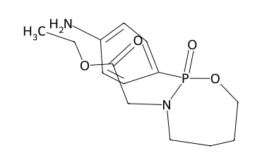 CCOC(=O)CN1CCCCOP1(=O)c1ccc(N)cc1